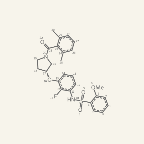 COc1ccccc1S(=O)(=O)Nc1cccc(O[C@H]2CCN(C(=O)c3c(C)cccc3C)C2)c1F